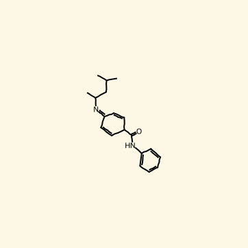 CC(C)CC(C)N=C1C=CC(C(=O)Nc2ccccc2)C=C1